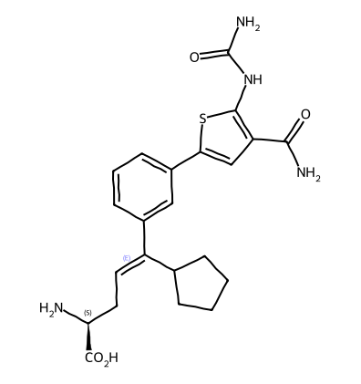 NC(=O)Nc1sc(-c2cccc(/C(=C/C[C@H](N)C(=O)O)C3CCCC3)c2)cc1C(N)=O